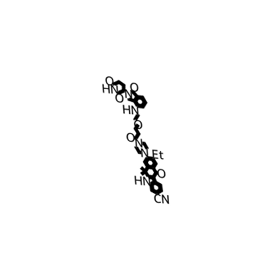 CCc1cc2c(cc1N1CCN(C(=O)CCOCCNc3cccc4c3CN(C3CCC(=O)NC3=O)C4=O)CC1)C(C)(C)c1[nH]c3cc(C#N)ccc3c1C2=O